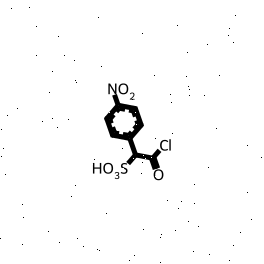 O=C(Cl)C(c1ccc([N+](=O)[O-])cc1)S(=O)(=O)O